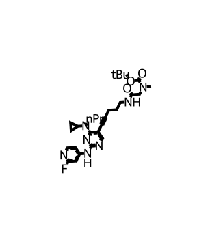 CCCN(c1nc(Nc2ccnc(F)c2)ncc1C#CCCCNC(=O)CN(C)C(=O)OC(C)(C)C)C1CC1